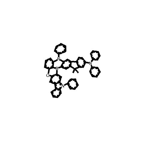 CC1(C)c2cc(N(c3ccccc3)c3ccccc3)ccc2-c2cc3c(cc21)B1c2cc4c(cc2Oc2cccc(c21)N3c1ccccc1)c1ccccc1n4-c1ccccc1